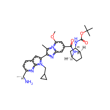 COc1cc(C(=O)N2[C@H]3CC[C@@H]2[C@H](NC(=O)OC(C)(C)C)C3)cc2nc(-c3cc4ccc([C@@H](C)N)nc4n3CC3CC3)c(C)n12